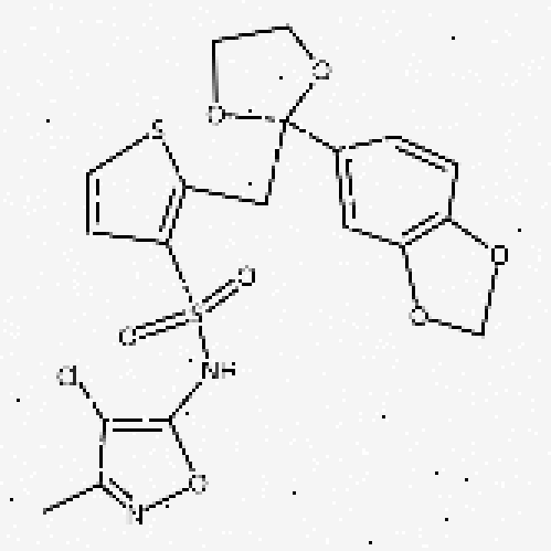 Cc1noc(NS(=O)(=O)c2ccsc2CC2(c3ccc4c(c3)OCO4)OCCO2)c1Cl